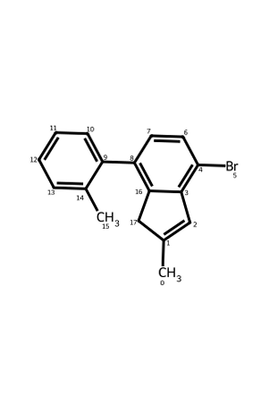 CC1=Cc2c(Br)ccc(-c3ccccc3C)c2C1